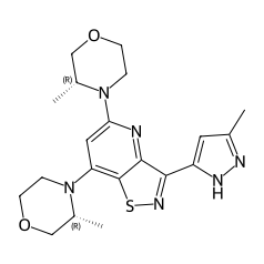 Cc1cc(-c2nsc3c(N4CCOC[C@H]4C)cc(N4CCOC[C@H]4C)nc23)[nH]n1